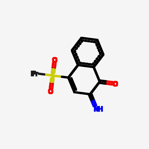 CC(C)S(=O)(=O)C1=CC(=N)C(=O)c2ccccc21